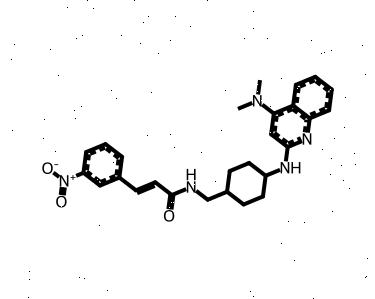 CN(C)c1cc(NC2CCC(CNC(=O)/C=C/c3cccc([N+](=O)[O-])c3)CC2)nc2ccccc12